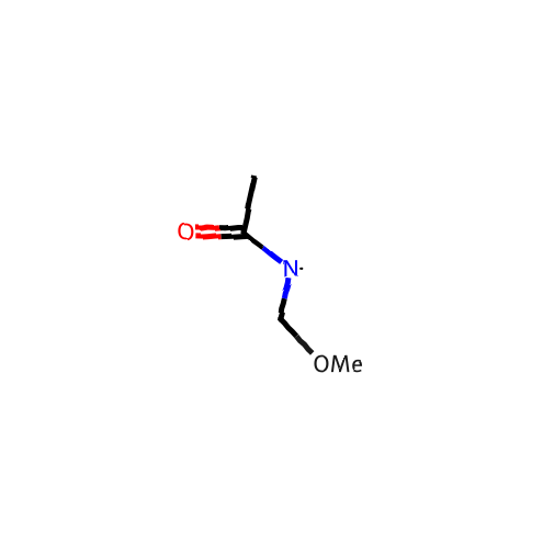 COC[N]C(C)=O